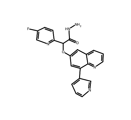 NNC(=O)C(Oc1cc(-c2cccnc2)c2ncccc2c1)c1ccc(F)cn1